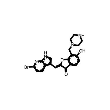 O=C1/C(=C/c2c[nH]c3nc(Br)ccc23)Oc2c1ccc(O)c2CN1CCNCC1